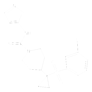 O=C(Nc1ccns1)N1CCC(C2(S(=O)(=O)c3cccc(F)c3)CC2)CC1